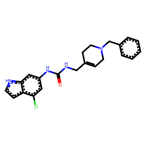 O=C(NCC1=CCN(Cc2ccccc2)CC1)Nc1cc(Cl)c2cc[nH]c2c1